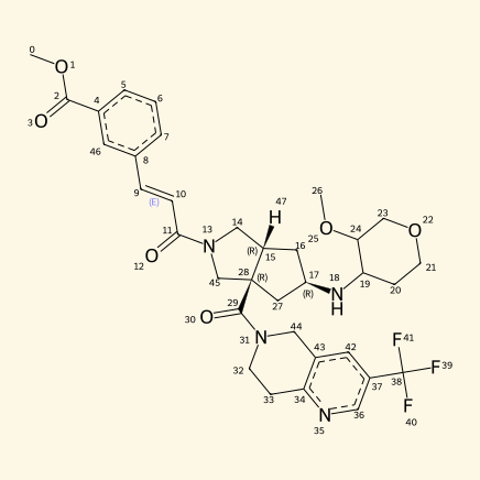 COC(=O)c1cccc(/C=C/C(=O)N2C[C@@H]3C[C@@H](NC4CCOCC4OC)C[C@]3(C(=O)N3CCc4ncc(C(F)(F)F)cc4C3)C2)c1